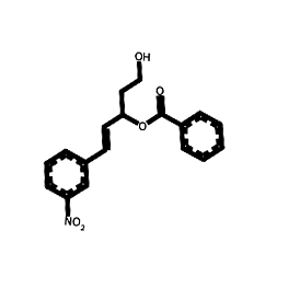 O=C(OC(/C=C/c1cccc([N+](=O)[O-])c1)CCO)c1ccccc1